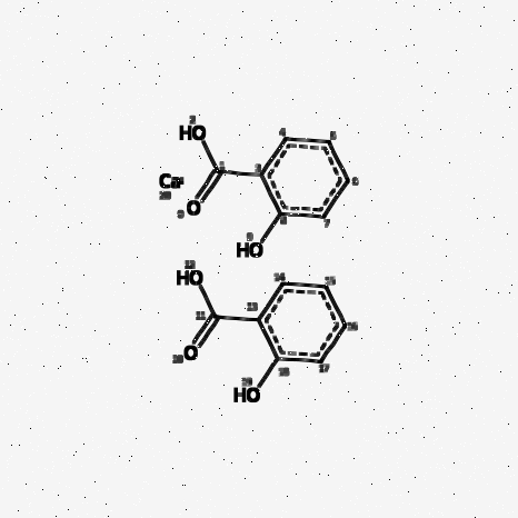 O=C(O)c1ccccc1O.O=C(O)c1ccccc1O.[Ca]